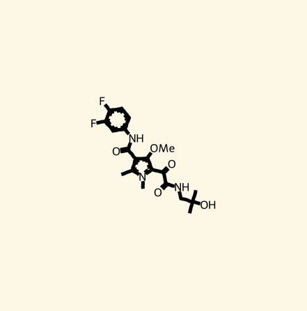 COc1c(C(=O)Nc2ccc(F)c(F)c2)c(C)n(C)c1C(=O)C(=O)NCC(C)(C)O